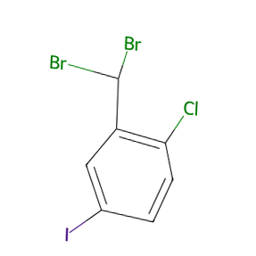 Clc1ccc(I)cc1C(Br)Br